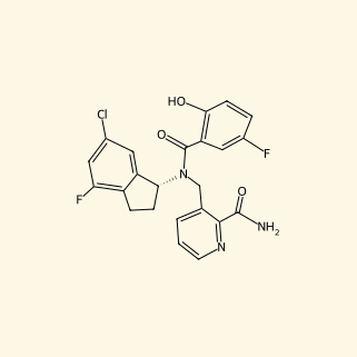 NC(=O)c1ncccc1CN(C(=O)c1cc(F)ccc1O)[C@@H]1CCc2c(F)cc(Cl)cc21